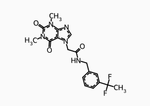 Cn1c(=O)c2c(ncn2CC(=O)NCc2cccc(C(C)(F)F)c2)n(C)c1=O